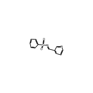 O=S(=O)(/N=C/c1cccnc1)c1ccccc1